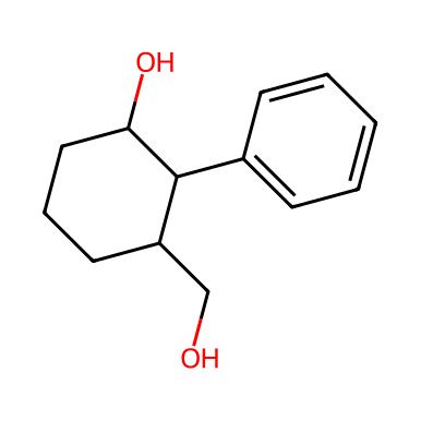 OCC1CCCC(O)C1c1ccccc1